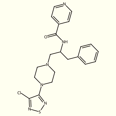 O=C(NC(Cc1ccccc1)CN1CCN(c2nsnc2Cl)CC1)c1ccncc1